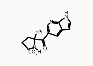 CCCC1(C(=O)c2cnc3[nH]ccc3c2)CCCN1C(=O)O